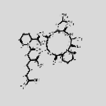 CC(C)C[C@H]1NC(=O)[C@@H](NC(=O)C2CCC=NN2C(=O)CC(CCCC(C)O)C(=O)O)COC(=O)[C@H]2CCCNN2C(=O)[C@H](C)NC1=O